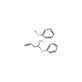 C=CCC(N)Oc1ccccc1.COc1ccccc1